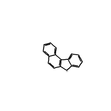 [C]1c2ccccc2-c2c1ccc1ccccc21